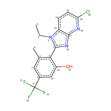 CCn1c(-c2c(C)cc(C(F)(F)F)cc2O)nc2nc(Cl)ccc21